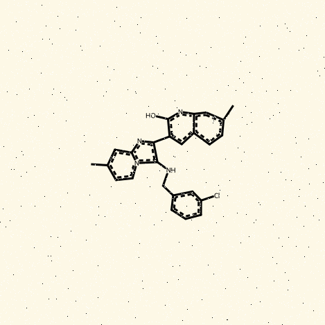 Cc1ccc2cc(-c3nc4cc(C)ccn4c3NCc3cccc(Cl)c3)c(O)nc2c1